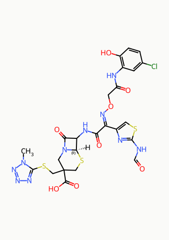 Cn1nnnc1SCC1(C(=O)O)CS[C@@H]2C(NC(=O)C(=NOCC(=O)Nc3cc(Cl)ccc3O)c3csc(NC=O)n3)C(=O)N2C1